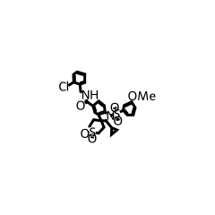 COc1cccc(S(=O)(=O)N2c3ccc(C(=O)NCc4ccccc4Cl)cc3C3(CCS(=O)(=O)CC3)C2C2CC2)c1